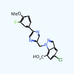 COc1ccc(-c2cnc(Cn3ncc4cc(Cl)cc(C(=O)O)c43)cn2)cc1F